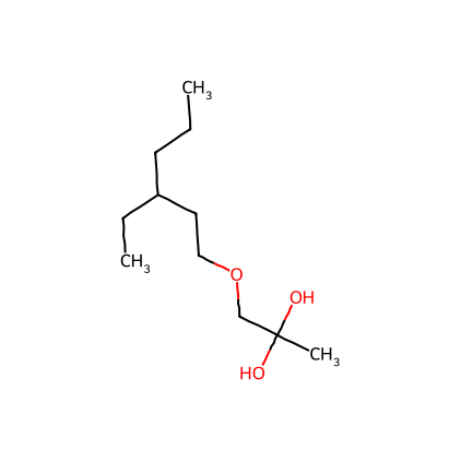 CCCC(CC)CCOCC(C)(O)O